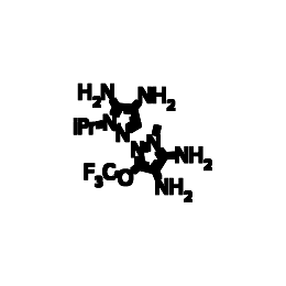 CC(C)n1ncc(N)c1N.Cn1nc(OC(F)(F)F)c(N)c1N